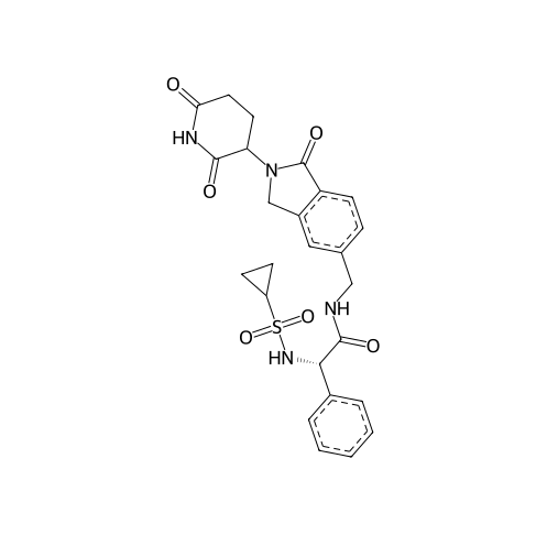 O=C1CCC(N2Cc3cc(CNC(=O)[C@@H](NS(=O)(=O)C4CC4)c4ccccc4)ccc3C2=O)C(=O)N1